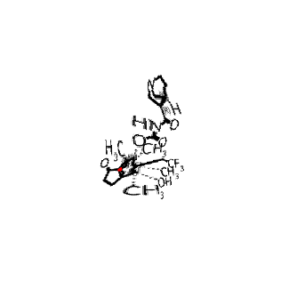 C[C@@H]1CCC23CCC(=O)C2[C@]1(C)[C@H](OC(=O)NC(=O)[C@H]1CN2CC[C@@H]1C2)C[C@@](C)(CC(F)(F)F)[C@@H](O)[C@@H]3C